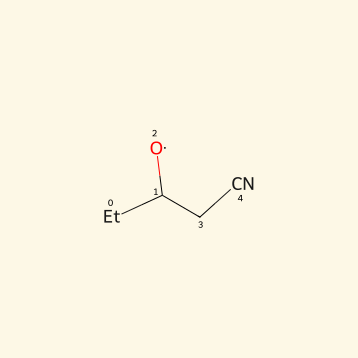 CCC([O])CC#N